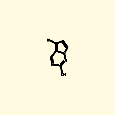 Oc1ncc2c(Br)ccn2n1